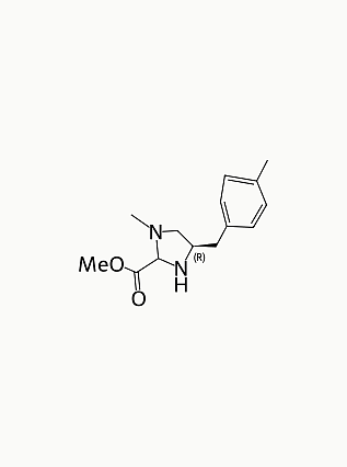 COC(=O)C1N[C@H](Cc2ccc(C)cc2)CN1C